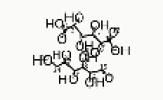 O=C(O)C(O)C(O)C(O)C(O)C(=O)O.O=CC(O)C(O)C(O)C(O)CO